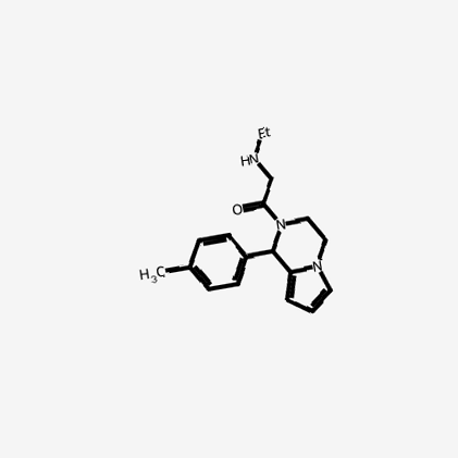 CCNCC(=O)N1CCn2cccc2C1c1ccc(C)cc1